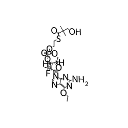 CCOc1nc(N)nc2c1ncn2[C@@H]1O[C@@H]2COP(=O)(OCCSC(=O)C(C)(C)CO)O[C@H]2[C@@]1(C)F